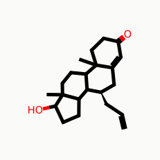 C=CC[C@@H]1CC2=CC(=O)CCC2(C)C2CCC3(C)C(O)CCC3C21